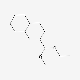 CCOC(OC)C1CCC2CCCCC2C1